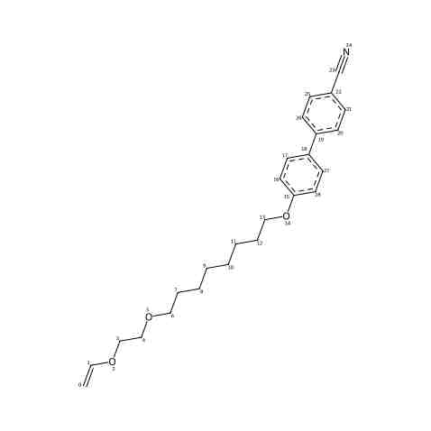 C=COCCOCCCCCCCCOc1ccc(-c2ccc(C#N)cc2)cc1